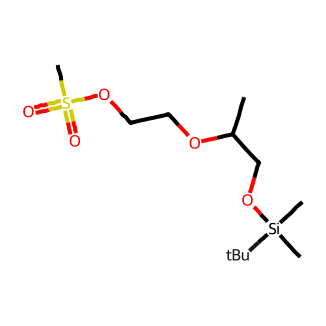 CC(CO[Si](C)(C)C(C)(C)C)OCCOS(C)(=O)=O